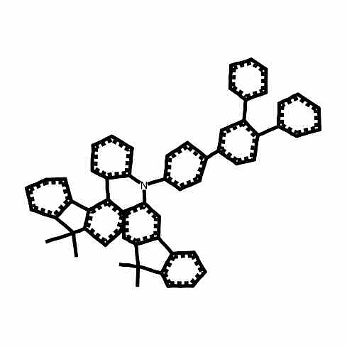 CC1(C)c2ccccc2-c2cc(N(c3ccc(-c4ccc(-c5ccccc5)c(-c5ccccc5)c4)cc3)c3ccccc3-c3cccc4c3-c3ccccc3C4(C)C)ccc21